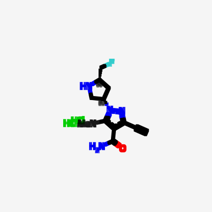 C#Cc1nn([C@@H]2CN[C@H](CF)C2)c(NC)c1C(N)=O.Cl.Cl